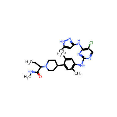 CCC(C(=O)NC)N1CCC(c2cc(C)c(Nc3ncc(Cl)c(Nc4cc(C)[nH]n4)n3)cc2C)CC1